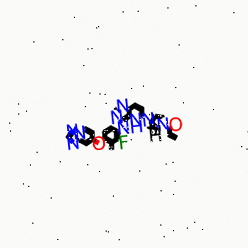 C=CC(=O)N1CC2C[C@H]1CN2c1ccc2ncnc(Nc3ccc(Oc4ccn5ncnc5c4)c(C)c3F)c2n1